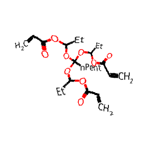 C=CC(=O)OC(CC)OC(CCCCC)(OC(CC)OC(=O)C=C)OC(CC)OC(=O)C=C